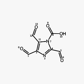 O=Cc1nc(C=O)n(C(=O)O)c1C=O